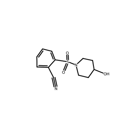 N#Cc1ccccc1S(=O)(=O)N1CCC(O)CC1